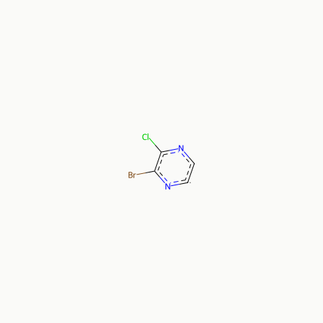 Clc1nc[c]nc1Br